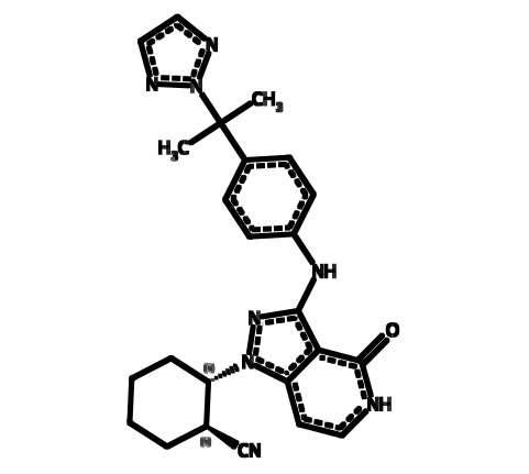 CC(C)(c1ccc(Nc2nn([C@H]3CCCC[C@@H]3C#N)c3cc[nH]c(=O)c23)cc1)n1nccn1